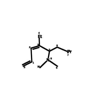 C=C/C=C(/CC)C(CC(C)C)N(C)C